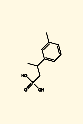 Cc1cccc(C(C)CP(=O)(O)O)c1